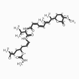 CNC(=O)OC(C/C=C\NC(=O)C(NC(=O)\C=C/C=C\C(C)=C\C(C)C1CC=C(OC)C(=O)O1)C(C)C)C/C=C(\C)Cl